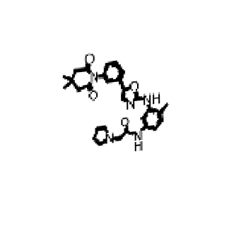 Cc1ccc(NC(=O)CN2CCCC2)cc1Nc1ncc(-c2cccc(N3C(=O)CC(C)(C)CC3=O)c2)o1